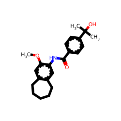 COc1cc2c(cc1NC(=O)c1ccc(C(C)(C)O)cc1)CCCCC2